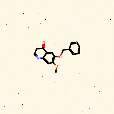 COc1cc2c(cc1OCc1ccccc1)C(=O)CC=N2